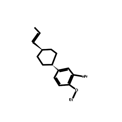 CC=C[C@H]1CC[C@H](c2ccc(OCC)c(CCC)c2)CC1